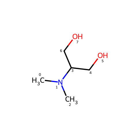 CN(C)C(CO)CO